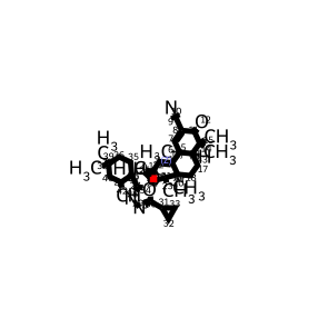 CC(=O)/C=C1/[C@@]2(C)C=C(C#N)C(=O)C(C)(C)[C@@H]2CC[C@@]1(C)C(C)(C)CC[C@@]1(c2nnc(C3CC3)o2)CCC(C)(C)CC1C